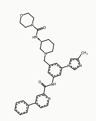 Cc1cn(-c2cc(CN3CCC[C@H](NC(=O)N4CCOCC4)C3)cc(NC(=O)c3cc(-c4ccccc4)ccn3)c2)cn1